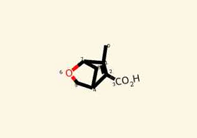 CC1=C(C(=O)O)C2COC1C2